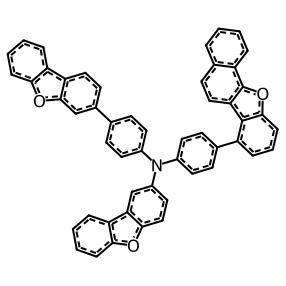 c1ccc2c(c1)ccc1c2oc2cccc(-c3ccc(N(c4ccc(-c5ccc6c(c5)oc5ccccc56)cc4)c4ccc5oc6ccccc6c5c4)cc3)c21